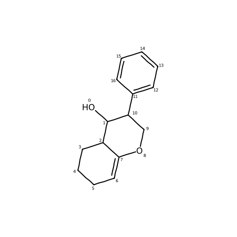 OC1C2CCCC=C2OCC1c1ccccc1